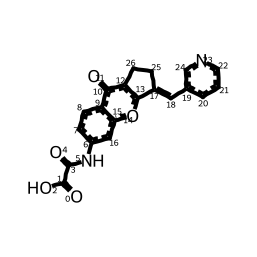 O=C(O)C(=O)Nc1ccc2c(=O)c3c(oc2c1)C(=Cc1cccnc1)CC3